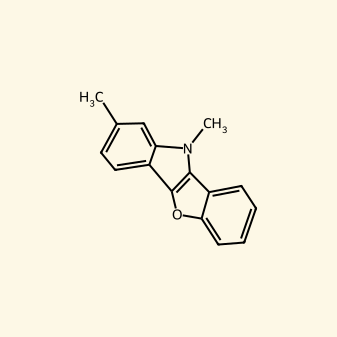 Cc1ccc2c3oc4ccccc4c3n(C)c2c1